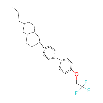 CCCC1CCC2CC(c3ccc(-c4ccc(OCC(F)(F)F)cc4)cc3)CCC2C1